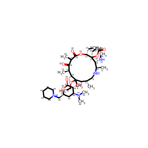 CCOC1(C)C[C@@H](C)CN[C@H](C)[C@@H](NC)[C@](CC)(OC=O)[C@@H](CC)OC(=O)C(C)C(=O)[C@H](C)[C@H]1O[C@@H]1O[C@H](CN2CCCCC2)C[C@H](N(C)C)[C@H]1O